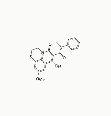 COc1cc2c3c(c1)c(O)c(C(=O)N(C)c1ccccc1)c(=O)n3CCS2